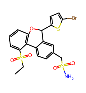 CCS(=O)(=O)c1cccc2c1-c1ccc(CS(N)(=O)=O)cc1C(c1ccc(Br)s1)O2